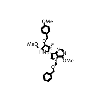 COC[C@H]1N[C@@H](c2cn(COCc3ccccc3)c3c(OC)ncnc23)[C@@H](F)[C@@H]1OCc1ccc(OC)cc1